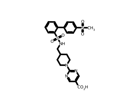 CS(=O)(=O)c1ccc(-c2ccccc2S(=O)(=O)NCC2CCN(c3ncc(C(=O)O)cn3)CC2)cc1